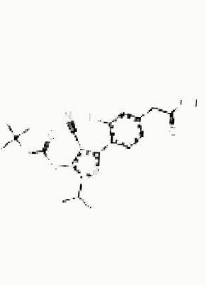 CC(C)n1nc(-c2ccc(CC(=O)O)cc2F)c(C#N)c1NC(=O)OC(C)(C)C